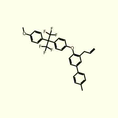 C=CCc1cc(-c2ccc(C)cc2)ccc1Oc1ccc(C(c2ccc(OC)cc2)(C(F)(F)F)C(F)(F)F)cc1